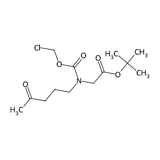 CC(=O)CCCN(CC(=O)OC(C)(C)C)C(=O)OCCl